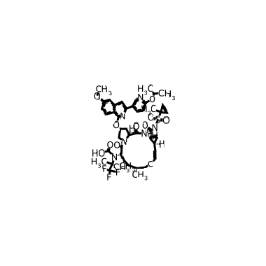 COc1ccc2c(O[C@@H]3C[C@H]4C(=O)N[C@]5(C(=O)NS(=O)(=O)C6(C)CC6)C[C@H]5/C=C\CC[C@H](C)C[C@@H](C)[C@H](N(C(=O)O)C(C)(C)C(F)(F)F)C(=O)N4C3)nc(-c3ccc(OC(C)C)nc3)cc2c1